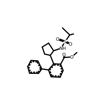 COC(=O)c1cccc(-c2ccccc2)c1C1CCCC1NS(=O)(=O)C(C)C